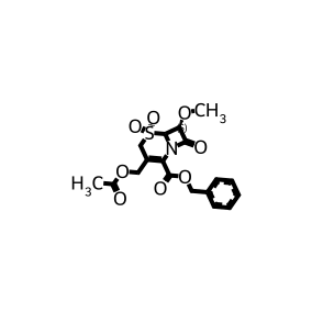 CO[C@H]1C(=O)N2C(C(=O)OCc3ccccc3)=C(COC(C)=O)CS(=O)(=O)C12